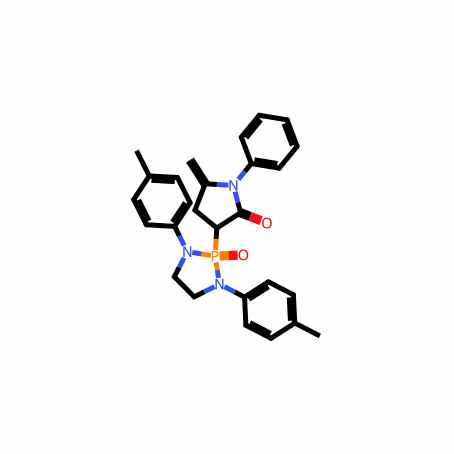 C=C1CC(P2(=O)N(c3ccc(C)cc3)CCN2c2ccc(C)cc2)C(=O)N1c1ccccc1